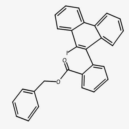 O=C(OCc1ccccc1)c1ccccc1-c1c(I)c2ccccc2c2ccccc12